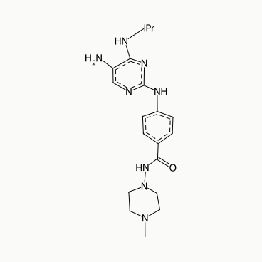 CC(C)Nc1nc(Nc2ccc(C(=O)NN3CCN(C)CC3)cc2)ncc1N